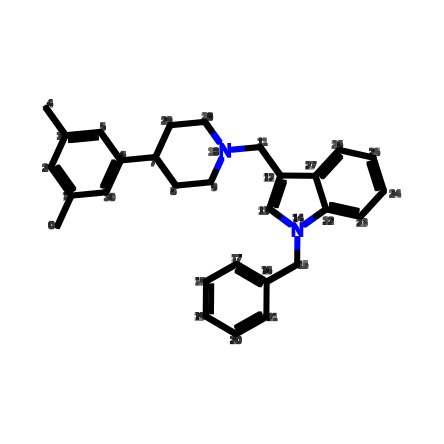 Cc1cc(C)cc(C2CCN(Cc3cn(Cc4ccccc4)c4ccccc34)CC2)c1